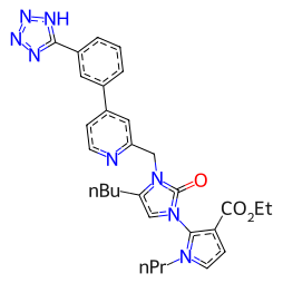 CCCCc1cn(-c2c(C(=O)OCC)ccn2CCC)c(=O)n1Cc1cc(-c2cccc(-c3nnn[nH]3)c2)ccn1